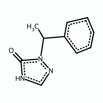 CC(c1ccccc1)n1nc[nH]c1=O